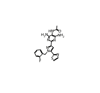 CC(=O)Nc1c(N)nc(-c2cc(-c3nccs3)n(Cc3ccccc3F)n2)nc1N